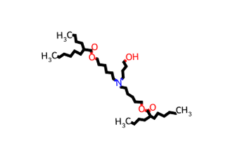 CCCCCCC(CCCC)C(=O)OCCCCCCN(CCCCO)CCCCCCOC(=O)C(CCCC)CCCCCC